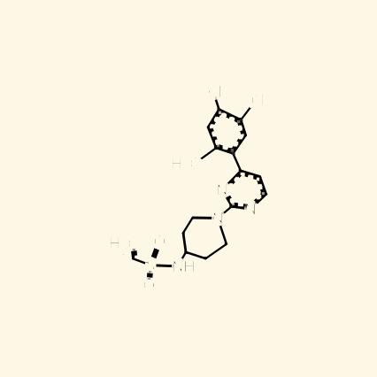 C=CS(=O)(=O)NC1CCN(c2nccc(-c3cc(Cl)c(Cl)cc3C)n2)CC1